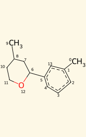 Cc1cccc(C2CC(C)CCO2)c1